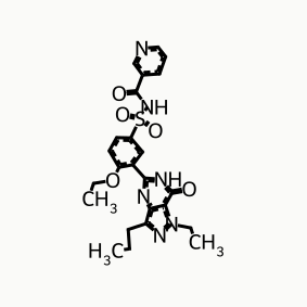 CCCc1nn(CC)c2c(=O)[nH]c(-c3cc(S(=O)(=O)NC(=O)c4cccnc4)ccc3OCC)nc12